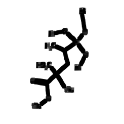 CCO[Si](OCC)(OCC)C(C)CC(C(=O)O)(C(=O)OC(C)(C)C)C(C)(C)C